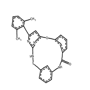 Cc1cccc(C)c1-c1cc2nc(n1)NSc1cccc(c1)NC(=O)c1cccc(c1)O2